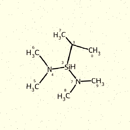 CC(C)[SiH](N(C)C)N(C)C